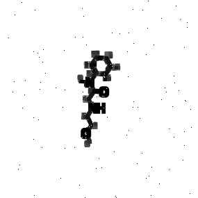 COCCNCC(=O)N(C)c1[c]cccc1